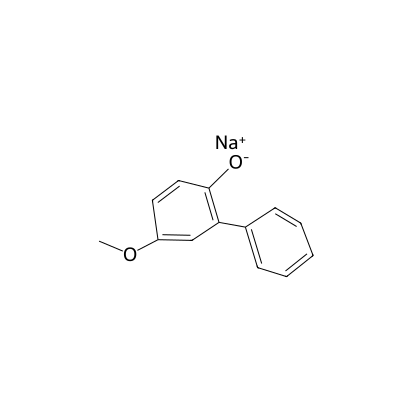 COc1ccc([O-])c(-c2ccccc2)c1.[Na+]